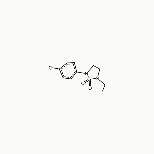 CCN1CCN(c2ccc(Cl)cc2)S1(=O)=O